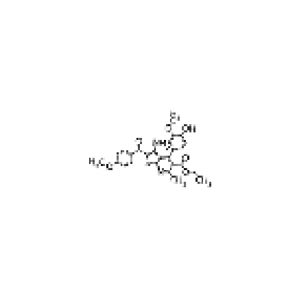 CCOC(=O)c1c(C)nc2sc(C(=O)c3ccc(OC)cc3)c(N)c2c1-c1ccc(O)c(OC)c1